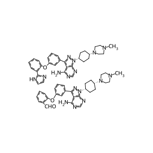 CN1CCN([C@H]2CC[C@@H](n3nc(-c4cccc(Oc5ccccc5-c5ncc[nH]5)c4)c4c(N)ncnc43)CC2)CC1.CN1CCN([C@H]2CC[C@@H](n3nc(-c4cccc(Oc5ccccc5C=O)c4)c4c(N)ncnc43)CC2)CC1